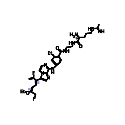 C=C(F)/C(=C\C=C(/CF)OCC)c1cnc2c(Nc3ccc(C(=O)NCCNC(=O)[C@@H](N)CCCNC(C)=N)c(CC)c3)nccn12